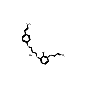 C=CCOc1cccc(OCCCOc2ccc(C=CC(=O)[O-])cc2)c1C(C)=O.[Na+]